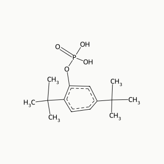 CC(C)(C)c1ccc(C(C)(C)C)c(OP(=O)(O)O)c1